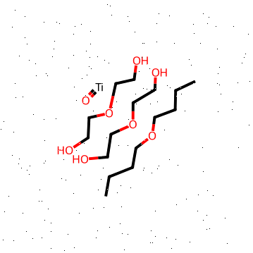 CCCCOCCCC.OCCOCCO.OCCOCCO.[O]=[Ti]